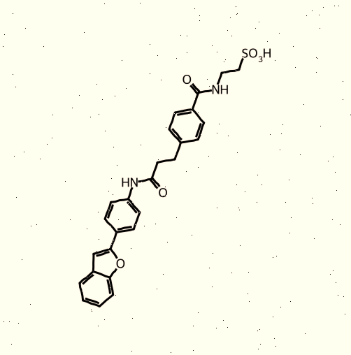 O=C(CCc1ccc(C(=O)NCCS(=O)(=O)O)cc1)Nc1ccc(-c2cc3ccccc3o2)cc1